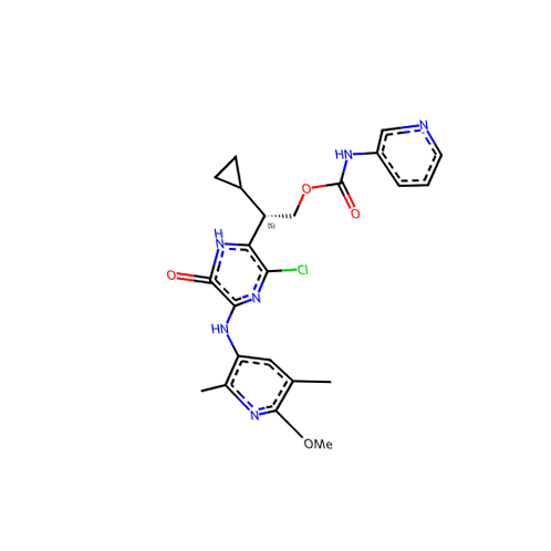 COc1nc(C)c(Nc2nc(Cl)c([C@@H](COC(=O)Nc3cccnc3)C3CC3)[nH]c2=O)cc1C